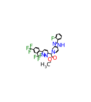 CCOC(=O)C(c1ccc(-c2ccc(C(F)(F)F)cc2C(F)(F)F)nn1)N1C=Cc2[nH]c(-c3ccccc3F)nc2C1